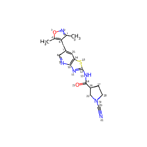 Cc1noc(C)c1-c1cnc2nc(NC(=O)C3CCN(C#N)C3)sc2c1